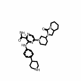 NC(=O)c1ncc(N2CCCC(N3CC4CCCCN4C3=O)C2)nc1Nc1ccc(C2CCNCC2)cc1